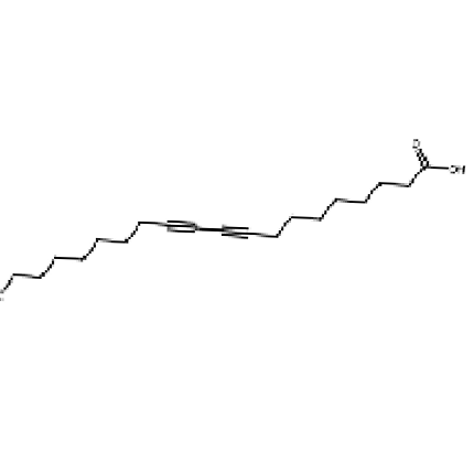 CCCCCCCCC#CC#CCCCCCCCC(=O)O